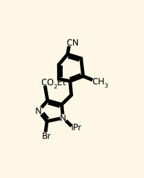 CCOC(=O)c1nc(Br)n(C(C)C)c1Cc1ccc(C#N)cc1C